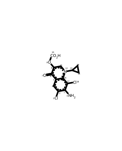 Nc1c(Cl)cc2c(=O)c(OC(=O)O)cn(C3CC3)c2c1Cl